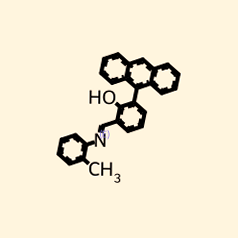 Cc1ccccc1/N=C/c1cccc(-c2c3ccccc3cc3ccccc23)c1O